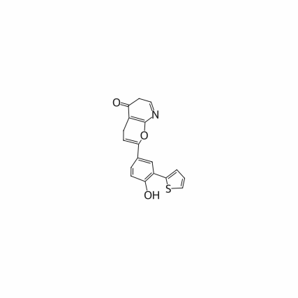 O=C1CC=NC2=C1CC=C(c1ccc(O)c(-c3cccs3)c1)O2